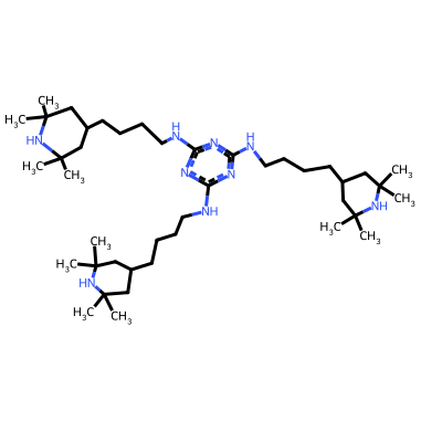 CC1(C)CC(CCCCNc2nc(NCCCCC3CC(C)(C)NC(C)(C)C3)nc(NCCCCC3CC(C)(C)NC(C)(C)C3)n2)CC(C)(C)N1